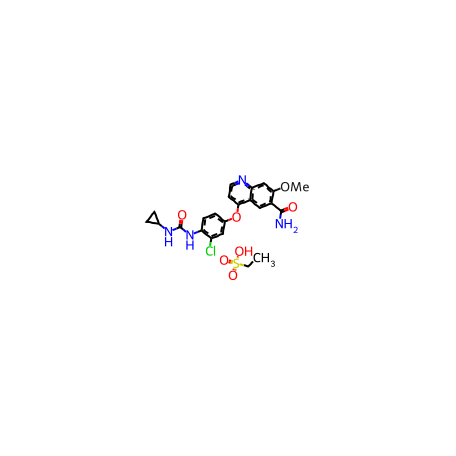 CCS(=O)(=O)O.COc1cc2nccc(Oc3ccc(NC(=O)NC4CC4)c(Cl)c3)c2cc1C(N)=O